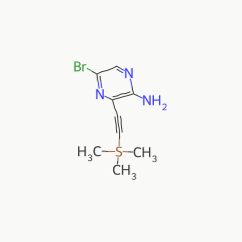 CS(C)(C)C#Cc1nc(Br)cnc1N